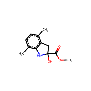 COC(=O)C1(O)Cc2c(C)ccc(C)c2N1